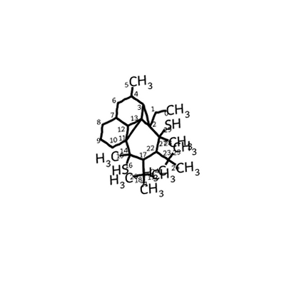 CCC12C3C(C)CC4CCCC5(C4C315)C(C)(S)C(C(C)(C)C)C(C(C)(C)C)C2(C)S